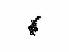 C=CC[n+]1c2ccccc2c(-c2ccc(NCCCO)cc2)c2ccccc21